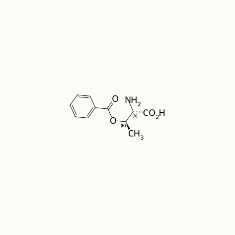 C[C@@H](OC(=O)c1ccccc1)[C@H](N)C(=O)O